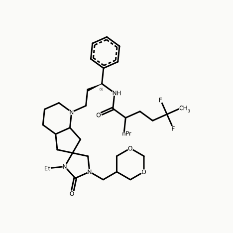 CCCC(CCC(C)(F)F)C(=O)N[C@@H](CCN1CCCC2CC3(CC21)CN(CC1COCOC1)C(=O)N3CC)c1ccccc1